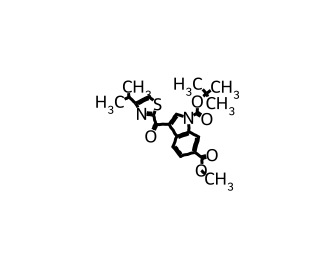 COC(=O)c1ccc2c(C(=O)c3nc(C(C)C)cs3)cn(C(=O)OC(C)(C)C)c2c1